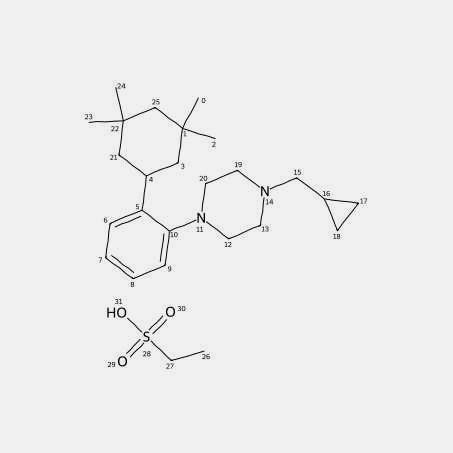 CC1(C)CC(c2ccccc2N2CCN(CC3CC3)CC2)CC(C)(C)C1.CCS(=O)(=O)O